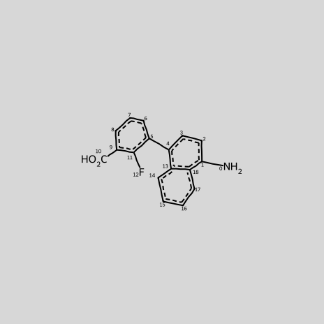 Nc1ccc(-c2cccc(C(=O)O)c2F)c2ccccc12